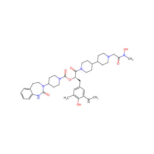 CBc1cc(C[C@@H](OC(=O)N2CCC(N3CCc4ccccc4NC3=O)CC2)C(=O)N2CCC(C3CCN(CC(=O)N(C)O)CC3)CC2)cc(C)c1O